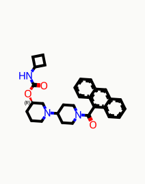 O=C(NC1CCC1)O[C@@H]1CCCN(C2CCN(C(=O)c3c4ccccc4cc4ccccc34)CC2)C1